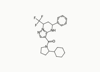 O=C(c1cnn2c1NC(c1ccccc1)CC2C(F)(F)F)N1CCCC1C1CCCCC1